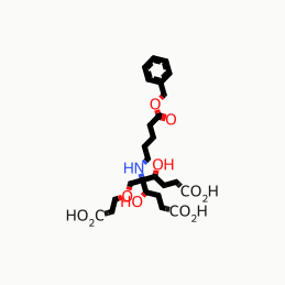 O=C(O)CCOCC(NCCCCC(=O)OCc1ccccc1)(C(O)CCC(=O)O)C(O)CCC(=O)O